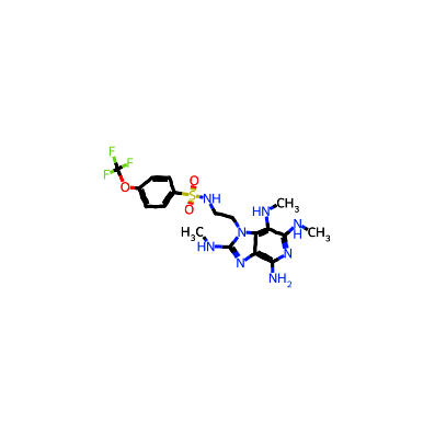 CNc1nc(N)c2nc(NC)n(CCNS(=O)(=O)c3ccc(OC(F)(F)F)cc3)c2c1NC